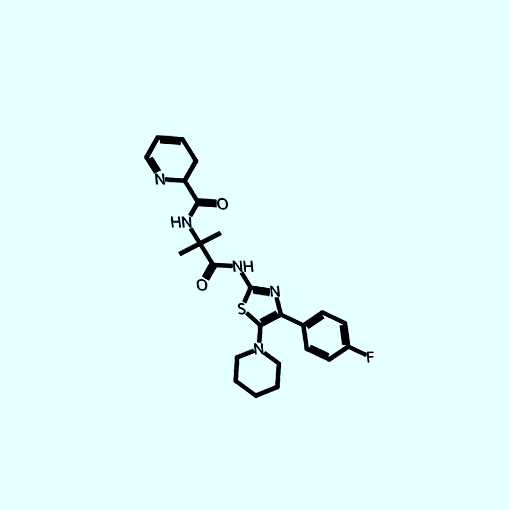 CC(C)(NC(=O)C1CC=CC=N1)C(=O)Nc1nc(-c2ccc(F)cc2)c(N2CCCCC2)s1